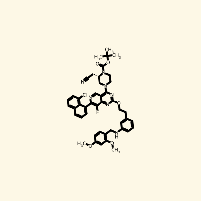 COc1ccc(CNc2cccc(CCOc3nc(N4CCN(C(=O)OC(C)(C)C)[C@@H](CC#N)C4)c4cnc(-c5cccc6cccc(Cl)c56)c(F)c4n3)c2)c(OC)c1